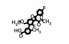 CNC(=O)c1c(-c2ccc(F)cc2)oc2cc(COC)c(-c3cc(C(=O)O)ccc3C)c(F)c12